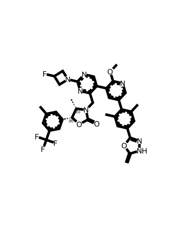 C=C1NN=C(c2cc(C)c(-c3cnc(OC)c(-c4cnc(N5CC(F)C5)nc4CN4C(=O)O[C@H](c5cc(C)cc(C(F)(F)F)c5)[C@@H]4C)c3)c(C)c2)O1